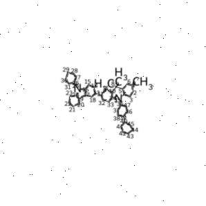 Cc1ccc2c(c1)C(C)(C)c1cc(-c3ccc4c(c3)c3ccccc3n4-c3ccccc3)ccc1N2c1ccc(-c2ccccc2)cc1